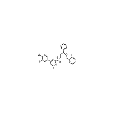 COc1ncc(-c2cc(C)nc(S(=O)(=O)CCC(OCc3ccccc3F)c3ccccc3)n2)cc1F